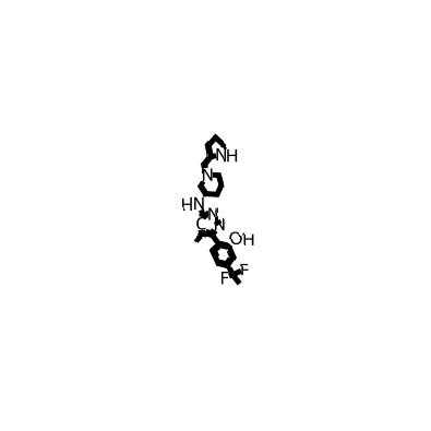 Cc1cc(N[C@@H]2CCCN(CC3CCCN3)C2)nnc1-c1ccc(C(C)(F)F)cc1O